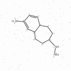 CCCCNC1CCC2C=CC(N)=CC2CC1